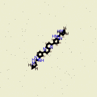 c1cc2nc([C@@H]3C[C@H]4C[C@H]4N3)[nH]c2cc1-c1ccc2nc(-c3ccc4nc([C@H]5N[C@@H]6C7C5[C@@H]76)[nH]c4c3)ccc2n1